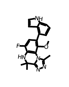 COc1c(-c2cccc3[nH]ccc23)cc(F)c2c1-n1c(C)nnc1C(C)(C)N2